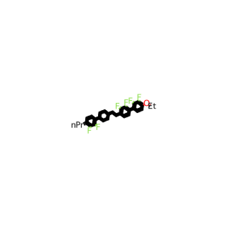 CCCc1ccc(C2CCC(CCc3ccc(-c4ccc(OCC)c(F)c4F)c(F)c3F)CC2)c(F)c1F